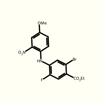 CCOC(=O)c1cc(F)c(Nc2ccc(OC)cc2[N+](=O)[O-])cc1Br